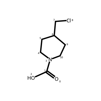 O=C(O)N1CCC(CCl)CC1